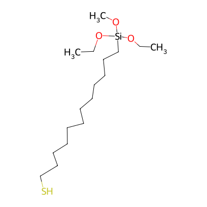 CCO[Si](CCCCCCCCCCCCS)(OC)OCC